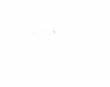 C[C@H](Nc1ncnc(N)c1C#Cc1cnccn1)c1nc2ccc(F)cc2c(=O)n1-c1cccc(Cl)c1